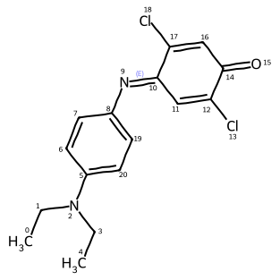 CCN(CC)c1ccc(/N=C2\C=C(Cl)C(=O)C=C2Cl)cc1